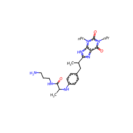 CCCn1c(=O)c2nc(C(C)Cc3ccc(NC(C)C(=O)NCCCN)cc3)[nH]c2n(CCC)c1=O